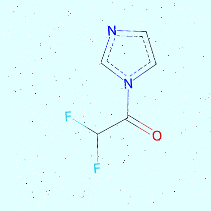 O=C(C(F)F)n1ccnc1